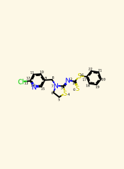 S=C(N=C1SCCN1Cc1ccc(Cl)nc1)Sc1ccccc1